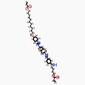 C=CC(=O)OCCCCCCCCCCCOc1ccc(/N=N/c2cc3sc(/N=N/c4ccc(NCCCCOC(=O)C=C)cc4)nc3s2)cc1